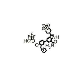 CCS(=O)(=O)N1CCC(c2c[nH]c3c(C(N)=O)cc(-c4ccc(OC)c(CN5CCCC5)c4)cc23)CC1.O=C(O)C(F)(F)F